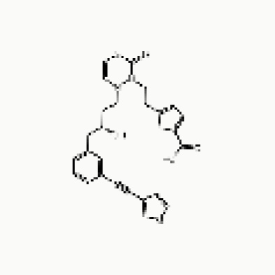 O=C(O)c1ccc(CCN2C(=O)SC=CN2CC[C@@H](O)Cc2cccc(C#Cc3ccoc3)c2)s1